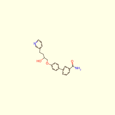 NC(=O)c1cccc(-c2ccc(OCC(O)CCc3cccnc3)cc2)c1